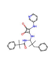 CC(C)(C(=O)NC(Nc1c(Nc2cccnc2)c(=O)c1=O)C(C)(C)Cc1ccccc1)c1ccccc1